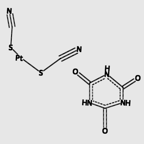 N#C[S][Pt][S]C#N.O=c1[nH]c(=O)[nH]c(=O)[nH]1